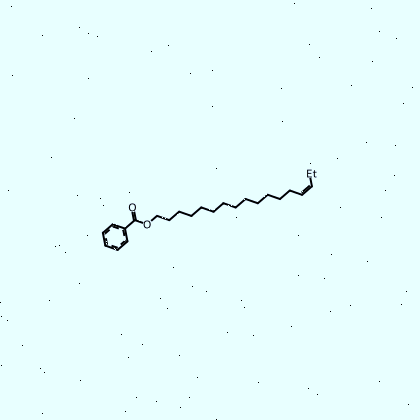 CC/C=C\CCCCCCCCCCCCCOC(=O)c1ccccc1